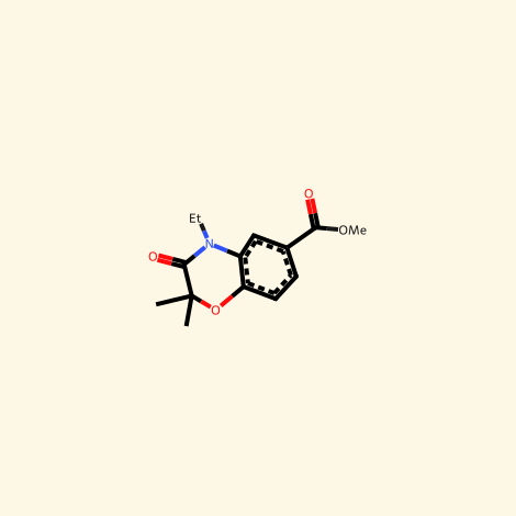 CCN1C(=O)C(C)(C)Oc2ccc(C(=O)OC)cc21